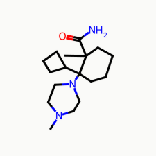 CN1CCN(C2(C3CCC3)CCCCC2(C)C(N)=O)CC1